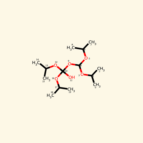 CC(C)OC(OC(C)C)OC(O)(OC(C)C)OC(C)C